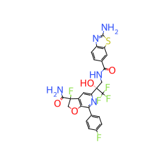 NC(=O)[C@@]1(F)COc2c1cc([C@@](O)(CNC(=O)c1ccc3nc(N)sc3c1)C(F)(F)F)nc2-c1ccc(F)cc1